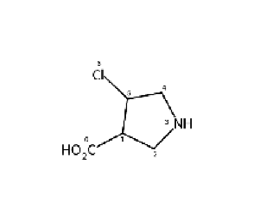 O=C(O)C1CNCC1Cl